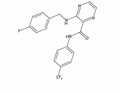 O=C(Nc1ccc(C(F)(F)F)cc1)c1nccnc1NCc1ccc(F)cc1